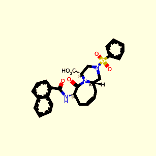 O=C(N[C@H]1CC=CC[C@H]2CN(S(=O)(=O)c3ccccc3)C[C@@H](C(=O)O)N2C1=O)c1cccc2ccccc12